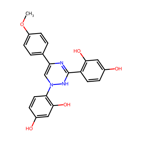 COc1ccc(C2=CN(c3ccc(O)cc3O)NC(c3ccc(O)cc3O)=N2)cc1